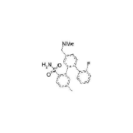 CNCc1ccc(-c2ccccc2F)c(-c2cc(C)ccc2S(N)(=O)=O)c1